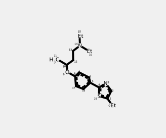 CCc1cnc(-c2ccc(OC(C)CCN(CC)CC)cc2)s1